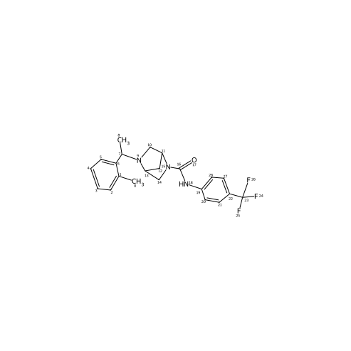 Cc1ccccc1C(C)N1CC2CC1CN2C(=O)Nc1ccc(C(F)(F)F)cc1